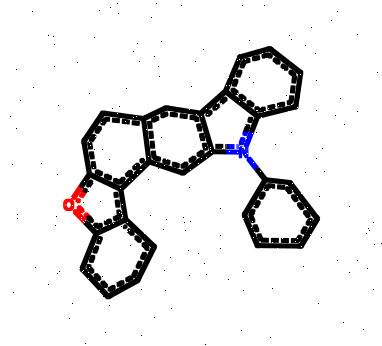 c1ccc(-n2c3ccccc3c3cc4ccc5oc6ccccc6c5c4cc32)cc1